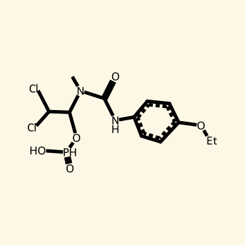 CCOc1ccc(NC(=O)N(C)C(O[PH](=O)O)C(Cl)Cl)cc1